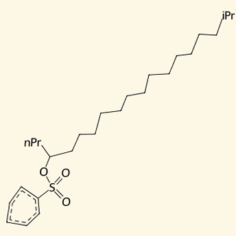 CCCC(CCCCCCCCCCCCCC(C)C)OS(=O)(=O)c1ccccc1